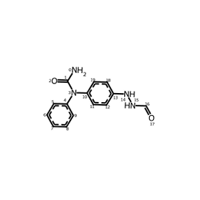 NC(=O)N(c1ccccc1)c1ccc(NNC=O)cc1